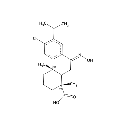 CC(C)c1cc2c(cc1Cl)[C@@]1(C)CCC[C@@](C)(C(=O)O)C1CC2=NO